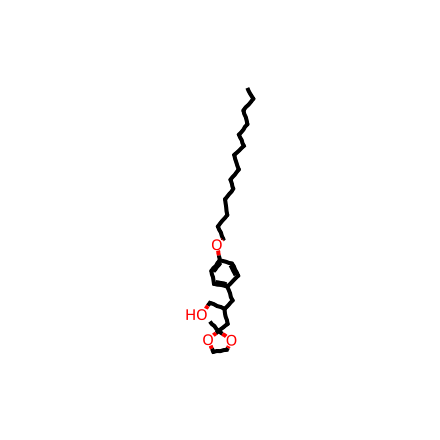 CCCCCCCCCCCCCCOc1ccc(CC(CO)CC2(C)OCCO2)cc1